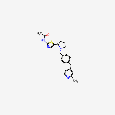 CC(=O)Nc1ncc([C@H]2CCCN2Cc2ccc(Cc3ccnc(C)c3)cc2)s1